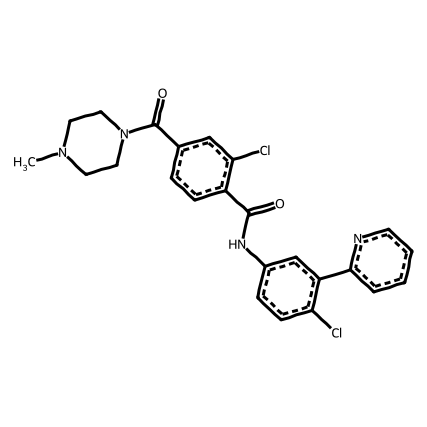 CN1CCN(C(=O)c2ccc(C(=O)Nc3ccc(Cl)c(-c4ccccn4)c3)c(Cl)c2)CC1